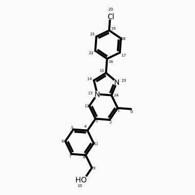 Cc1cc(-c2cccc(CO)c2)cn2cc(-c3ccc(Cl)cc3)nc12